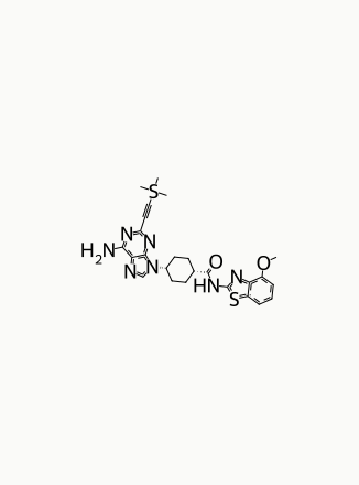 COc1cccc2sc(NC(=O)[C@H]3CC[C@@H](n4cnc5c(N)nc(C#CS(C)(C)C)nc54)CC3)nc12